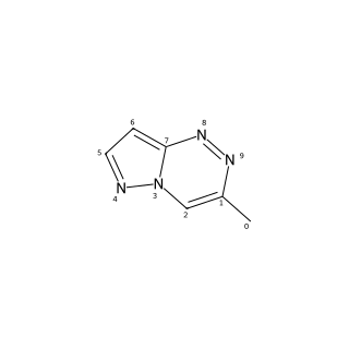 Cc1cn2nccc2nn1